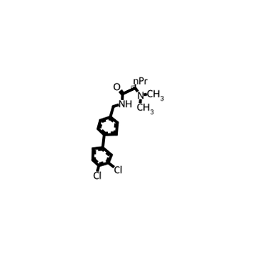 CCC[C@@H](C(=O)NCc1ccc(-c2ccc(Cl)c(Cl)c2)cc1)N(C)C